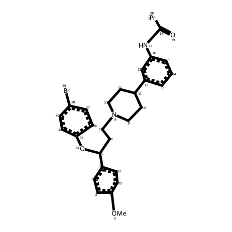 COc1ccc(C(CCN2CCC(c3cccc(NC(=O)C(C)C)c3)CC2)Oc2ccc(Br)cc2)cc1